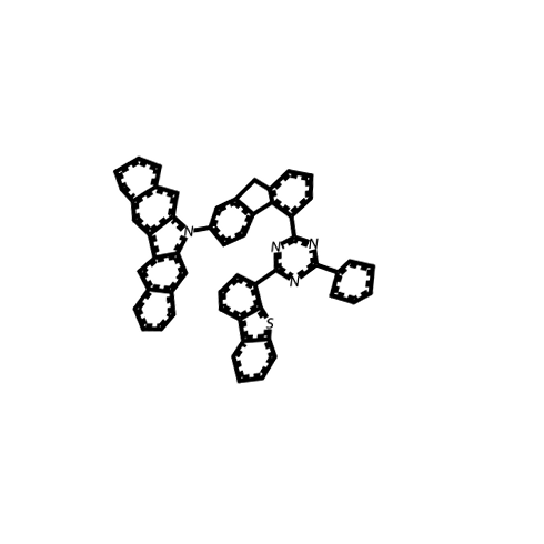 c1ccc(-c2nc(-c3cccc4c3-c3ccc(-n5c6cc7ccccc7cc6c6cc7ccccc7cc65)cc3C4)nc(-c3cccc4c3sc3ccccc34)n2)cc1